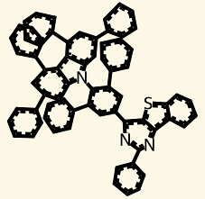 c1ccc(-c2cc(-c3ccccc3)c3c4c(-c5ccccc5)cc(-c5ccccc5)cc4n(-c4c(-c5ccccc5)cc(-c5nc(-c6ccccc6)nc6c5sc5ccccc56)cc4-c4ccccc4)c3c2)cc1